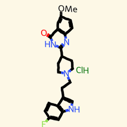 COc1ccc2nc(C3CCN(CCc4c[nH]c5cc(F)ccc45)CC3)[nH]c(=O)c2c1.Cl